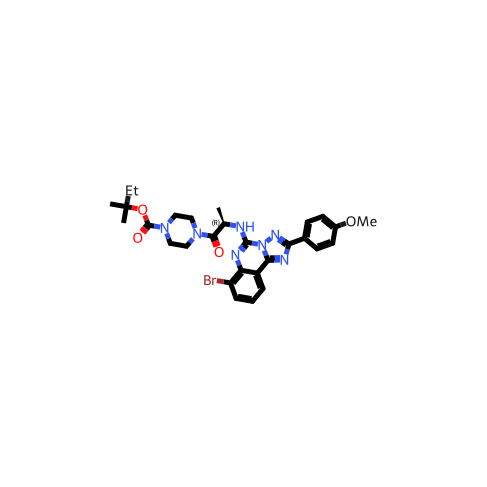 CCC(C)(C)OC(=O)N1CCN(C(=O)[C@@H](C)Nc2nc3c(Br)cccc3c3nc(-c4ccc(OC)cc4)nn23)CC1